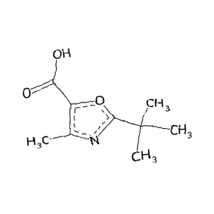 Cc1nc(C(C)(C)C)oc1C(=O)O